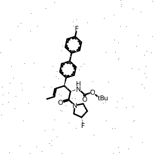 C/C=C/[C@@H](c1ccc(-c2ccc(F)cc2)cc1)[C@H](NC(=O)OC(C)(C)C)C(=O)N1CC[C@H](F)C1